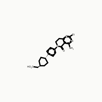 CCc1nc(N)c2c(n1)CCN(c1ccc([C@H]3CC[C@H](CC(=O)O)CC3)cc1)C2=O